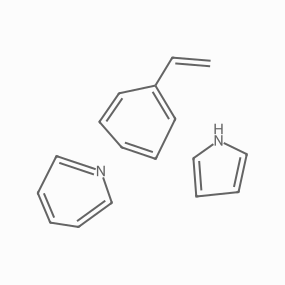 C=Cc1ccccc1.c1cc[nH]c1.c1ccncc1